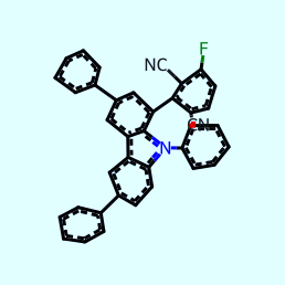 N#Cc1ccc(F)c(C#N)c1-c1cc(-c2ccccc2)cc2c3cc(-c4ccccc4)ccc3n(-c3ccccc3)c12